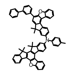 Cc1ccc(N(c2ccc3c(c2)C(C)(C)c2cc(-c4cccc(-c5ccccc5)c4)c4oc5ccccc5c4c2-3)c2ccc3c(c2)C(C)(C)c2c4c(c5oc6ccccc6c5c2-3)-c2ccccc2C4(C)C)cc1